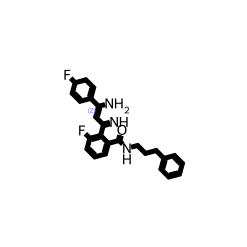 N=C(/C=C(\N)C1=CCC(F)C=C1)c1c(F)cccc1C(=O)NCCCc1ccccc1